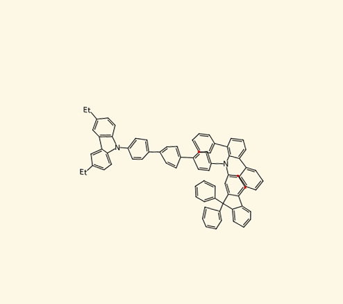 CCc1ccc2c(c1)c1cc(CC)ccc1n2-c1ccc(-c2ccc(-c3ccc(N(c4ccc5c(c4)C(c4ccccc4)(c4ccccc4)c4ccccc4-5)c4c(-c5ccccc5)cccc4-c4ccccc4)cc3)cc2)cc1